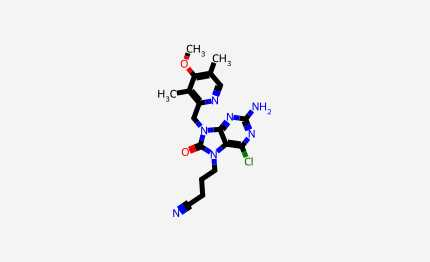 COc1c(C)cnc(Cn2c(=O)n(CCCC#N)c3c(Cl)nc(N)nc32)c1C